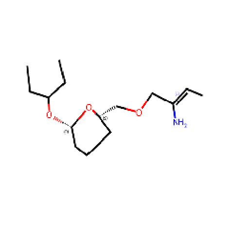 C/C=C(\N)COC[C@@H]1CCC[C@H](OC(CC)CC)O1